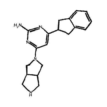 Nc1nc(C2Cc3ccccc3C2)cc(N2CC3CNCC3C2)n1